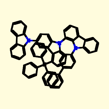 c1ccc(-c2ccc(-n3c4ccccc4c4cccc(-n5c6ccc(-n7c8ccccc8c8ccccc87)cc6c6c([Si](c7ccccc7)(c7ccccc7)c7ccccc7)cccc65)c43)cc2)cc1